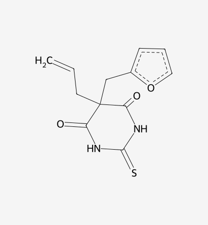 C=CCC1(Cc2ccco2)C(=O)NC(=S)NC1=O